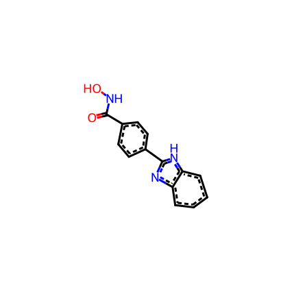 O=C(NO)c1ccc(-c2nc3ccccc3[nH]2)cc1